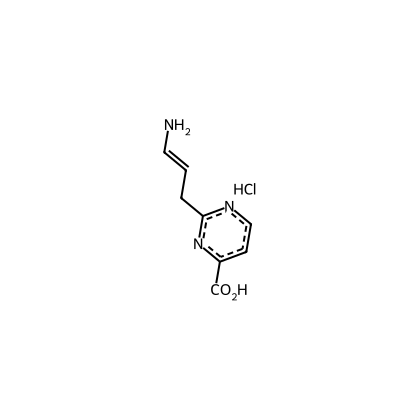 Cl.NC=CCc1nccc(C(=O)O)n1